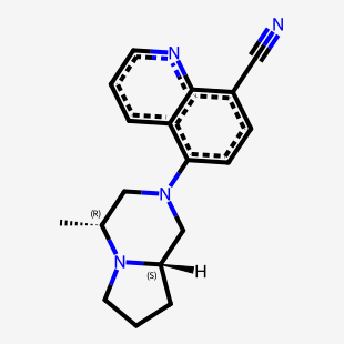 C[C@@H]1CN(c2ccc(C#N)c3ncccc23)C[C@@H]2CCCN21